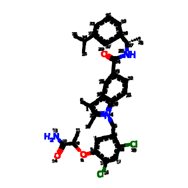 Cc1c(C)n(Cc2cc(OC(C)C(N)=O)c(Cl)cc2Cl)c2ccc(C(=O)N[C@@H](C)c3cccc(C(C)C)c3)cc12